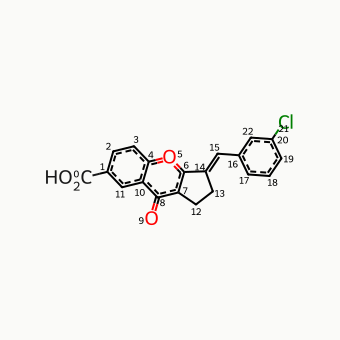 O=C(O)c1ccc2oc3c(c(=O)c2c1)CCC3=Cc1cccc(Cl)c1